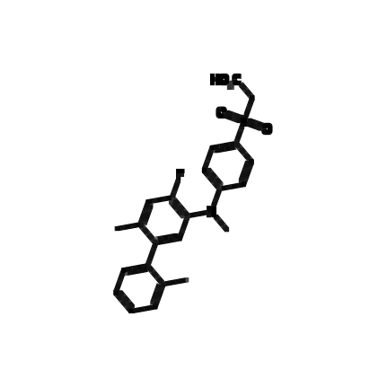 Cc1ccccc1-c1cc(N(C)c2ccc(S(=O)(=O)CC(=O)O)cc2)c(F)cc1C